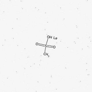 CS(=O)(=O)O.[La]